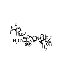 Cn1cc2c(c1C(=O)Nc1ccc(F)c(C(F)F)c1)OCC1(CCN(C(=O)C(=O)NC(C)(O)C(F)(F)F)CC1)NS2(=O)=O